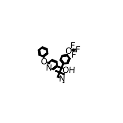 CN1CC(C)(C(O)(c2ccc(OC(F)(F)F)cc2)c2ccc(Oc3ccccc3)nc2)C1